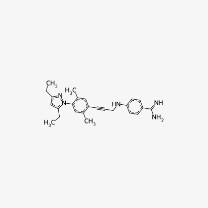 CCc1cc(CC)n(-c2cc(C)c(C#CCNc3ccc(C(=N)N)cc3)cc2C)n1